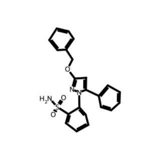 NS(=O)(=O)c1ccccc1-n1nc(OCc2ccccc2)cc1-c1ccccc1